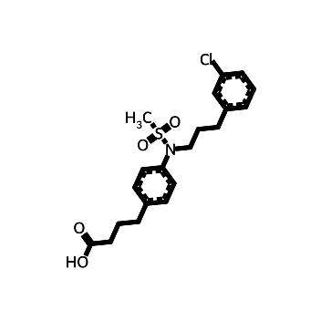 CS(=O)(=O)N(CCCc1cccc(Cl)c1)c1ccc(CCCC(=O)O)cc1